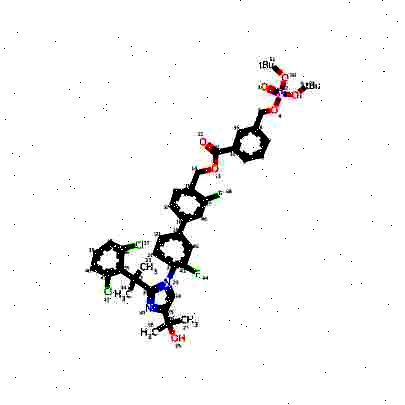 CC(C)(C)OP(=O)(OCc1cccc(C(=O)OCc2ccc(-c3ccc(-n4cc(C(C)(C)O)nc4C(C)(C)c4c(Cl)cccc4Cl)c(F)c3)cc2F)c1)OC(C)(C)C